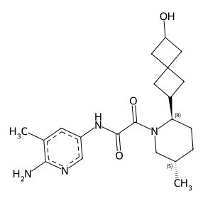 Cc1cc(NC(=O)C(=O)N2C[C@@H](C)CC[C@@H]2C2CC3(CC(O)C3)C2)cnc1N